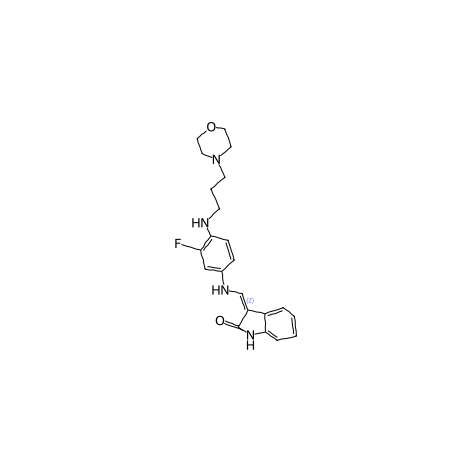 O=C1Nc2ccccc2/C1=C/Nc1ccc(NCCCN2CCOCC2)c(F)c1